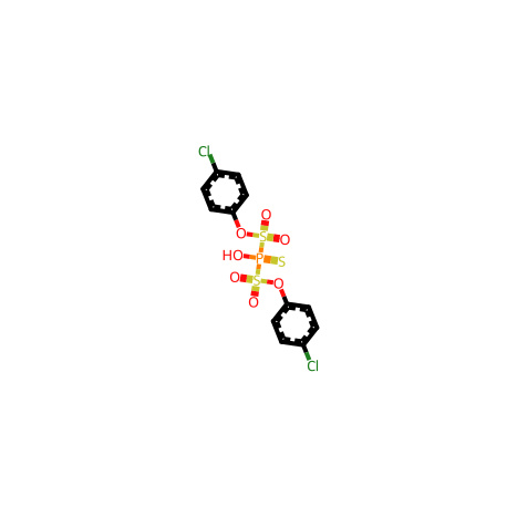 O=S(=O)(Oc1ccc(Cl)cc1)P(O)(=S)S(=O)(=O)Oc1ccc(Cl)cc1